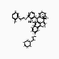 O=C(O)c1coc2c1c(C(c1ccnc(OCCc3ccccc3F)c1)N1CCCCC1)c(O)c1ccc(OCCC3CCCCC3)cc12